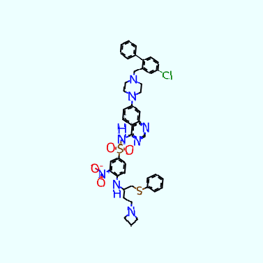 O=[N+]([O-])c1cc(S(=O)(=O)Nc2ncnc3cc(N4CCN(Cc5cc(Cl)ccc5-c5ccccc5)CC4)ccc23)ccc1NC(CCN1CCC1)CSc1ccccc1